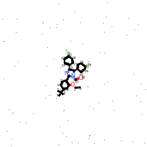 CCOc1cc(C(C)(C)C)ccc1C1=N[C@@H](c2ccc(F)cc2)[C@@H](c2ccc(F)cc2)N1[C]=O